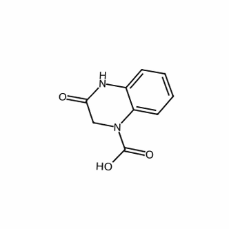 O=C1CN(C(=O)O)c2ccccc2N1